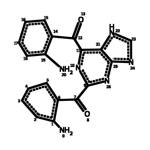 Nc1ccccc1C(=O)c1nc(C(=O)c2ccccc2N)c2[nH]cnc2n1